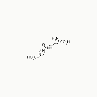 NC(CCCCNC(=O)N1CCN(CC(=O)O)CC1)C(=O)O